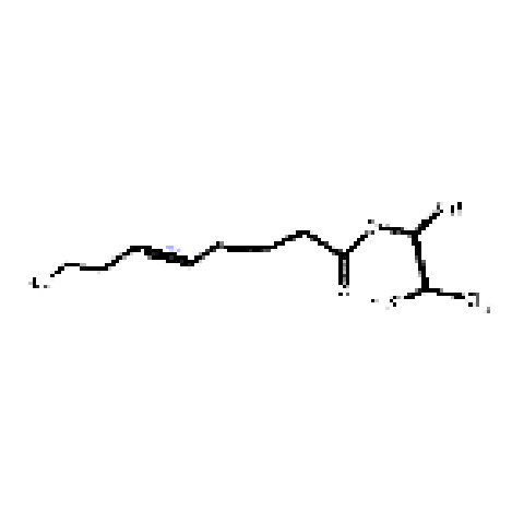 CCC/C=C/CCCC(=O)OC(C)C(C)C